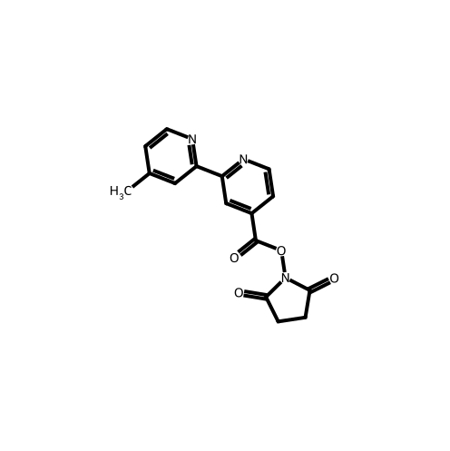 Cc1ccnc(-c2cc(C(=O)ON3C(=O)CCC3=O)ccn2)c1